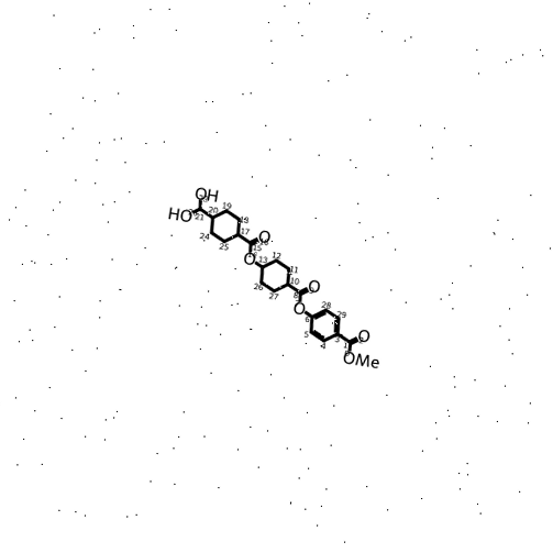 COC(=O)c1ccc(OC(=O)C2CCC(OC(=O)C3CCC(C(O)O)CC3)CC2)cc1